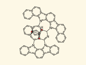 c1ccc(C2=NC(n3c4ccccc4c4ccc5c6ccccc6n(-c6ccccc6)c5c43)=NC(n3c4c5ccccc5ccc4c4ccc5c6ccc7ccccc7c6n(-c6ccccc6)c5c43)N2)cc1